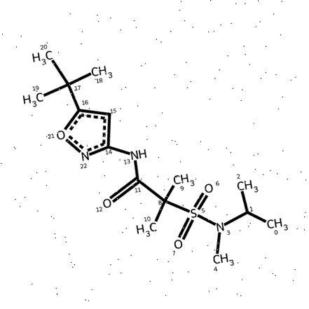 CC(C)N(C)S(=O)(=O)C(C)(C)C(=O)Nc1cc(C(C)(C)C)on1